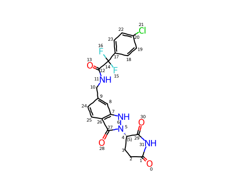 O=C1CC[C@H](n2[nH]c3cc(CNC(=O)C(F)(F)c4ccc(Cl)cc4)ccc3c2=O)C(=O)N1